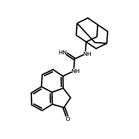 N=C(Nc1ccc2cccc3c2c1CC3=O)NC12CC3CC(CC(C3)C1)C2